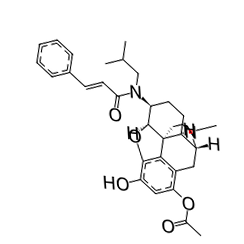 CC(=O)Oc1cc(O)c2c3c1C[C@@H]1[C@@H]4CC[C@H](N(CC(C)C)C(=O)C=Cc5ccccc5)[C@H](O2)[C@]34CCN1C